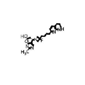 Cc1ncc([C@H](CC(=O)O)N2CC(F)(CCCCc3ccc4c(n3)NCCC4)C2)cn1